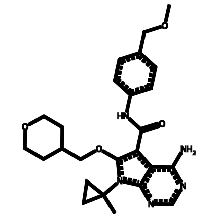 COCc1ccc(NC(=O)c2c(OCC3CCOCC3)n(C3(C)CC3)c3ncnc(N)c23)cc1